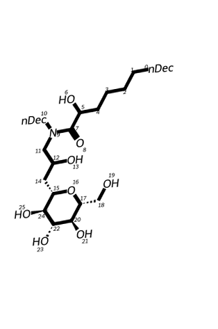 CCCCCCCCCCCCCCC(O)C(=O)N(CCCCCCCCCC)CC(O)C[C@@H]1O[C@H](CO)[C@@H](O)[C@H](O)[C@H]1O